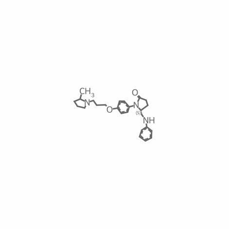 CC1CCCN1CCCOc1ccc(N2C(=O)CC[C@H]2CNc2ccccc2)cc1